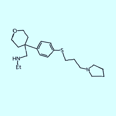 CCNCC1(c2ccc(SCCCN3CCCC3)cc2)CCOCC1